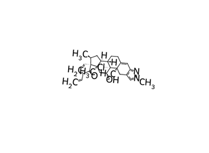 C=CCC(=O)[C@@]1(C=C)[C@@H](C)C[C@H]2[C@@H]3CCC4=Cc5nn(C)cc5C[C@]4(C)[C@@]3(Cl)[C@@H](O)C[C@@]21C